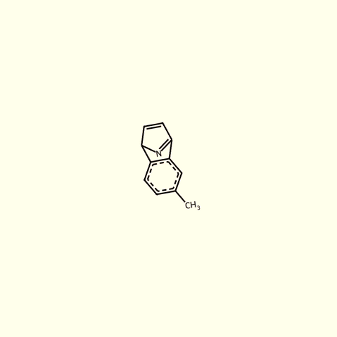 Cc1ccc2c(c1)C1=NC2C=C1